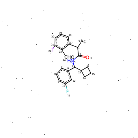 CC(=O)C(C(=O)N[C@H](c1cccc(F)c1)C1CCC1)c1cccc(I)c1C=O